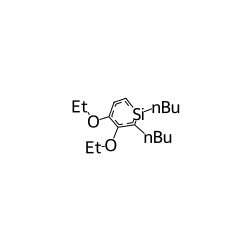 CCCCc1c(OCC)c(OCC)cc[si]1CCCC